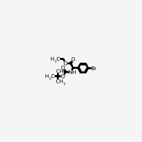 CCOC(=O)C(NC(=O)OC(C)(C)C)c1ccc(Br)cc1